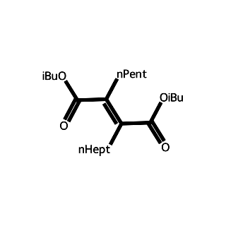 CCCCCCCC(C(=O)OCC(C)C)=C(CCCCC)C(=O)OCC(C)C